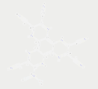 N#Cc1nc2c3nc(C#N)c(C#N)nc3c3nc([N+](=O)[O-])c(C#N)nc3c2nc1C#N